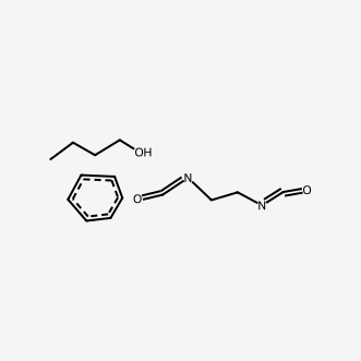 CCCCO.O=C=NCCN=C=O.c1ccccc1